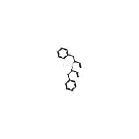 C=CC(Cc1ccccc1)NC(C=C)Cc1ccccc1